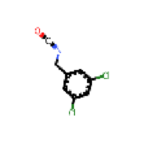 O=C=NCc1cc(Cl)cc(Cl)c1